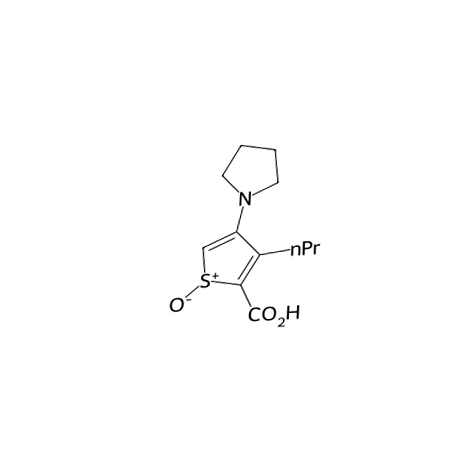 CCCc1c(N2CCCC2)c[s+]([O-])c1C(=O)O